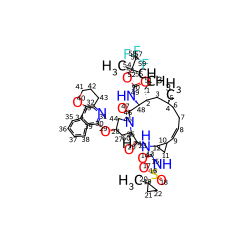 CC[C@@H]1C[C@@H](C)CC/C=C\C2C[C@@]2(C(=O)NS(=O)(=O)C2(C)CC2)NC(=O)[C@@H]2C[C@@H](Oc3nc4c(c5ccccc35)OCCC4)CN2C(=O)[C@H]1NC(=O)OC(C)(C)C(F)(F)F